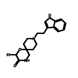 CCC1OC2(CCN(CCc3c[nH]c4ccccc34)CC2)CNC1=O